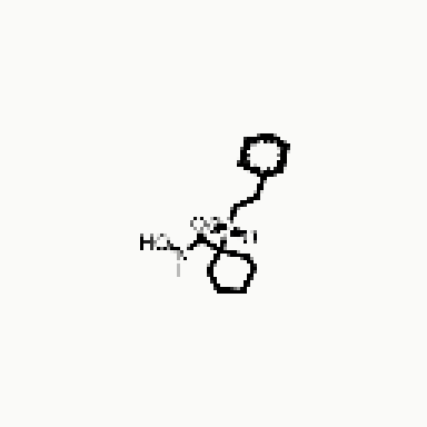 O=C(NO)C1(S(=O)(=O)CCc2ccccc2)CCCCC1